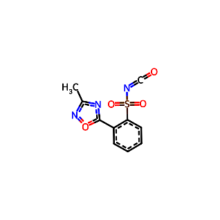 Cc1noc(-c2ccccc2S(=O)(=O)N=C=O)n1